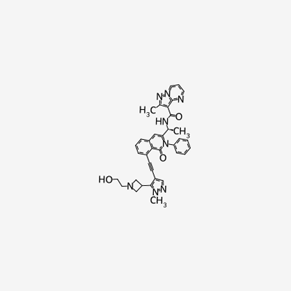 Cc1nn2cccnc2c1C(=O)N[C@@H](C)c1cc2cccc(C#Cc3cnn(C)c3C3CN(CCO)C3)c2c(=O)n1-c1ccccc1